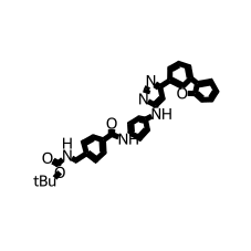 CC(C)(C)OC(=O)NCc1ccc(C(=O)Nc2ccc(Nc3cc(-c4cccc5c4oc4ccccc45)ncn3)cc2)cc1